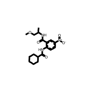 COCC(C)NC(=O)c1cc([N+](=O)[O-])ccc1NC(=O)C1CCCCC1